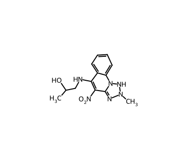 CC(O)CNC1=C([N+](=O)[O-])C2=NN(C)NN2c2ccccc21